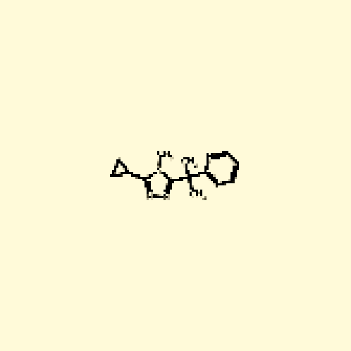 Cn1c(C2CC2)nnc1C(C)(C)c1ccccn1